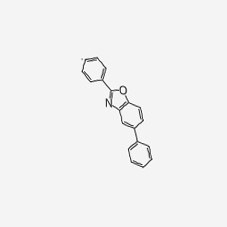 [c]1ccc(-c2nc3cc(-c4ccccc4)ccc3o2)cc1